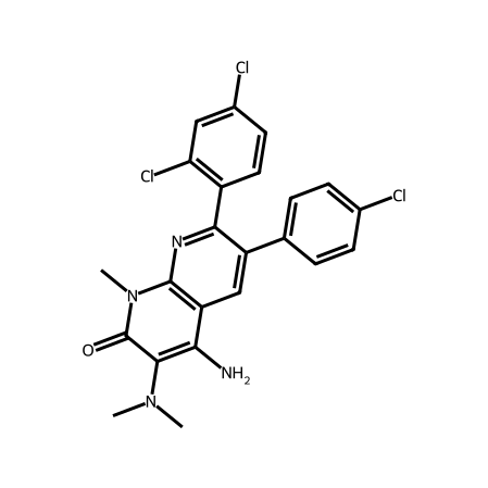 CN(C)c1c(N)c2cc(-c3ccc(Cl)cc3)c(-c3ccc(Cl)cc3Cl)nc2n(C)c1=O